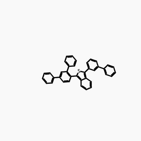 c1ccc(-c2cccc(-c3sc(-c4ccc(-c5ccccc5)cc4-c4ccccc4)c4ccccc34)c2)cc1